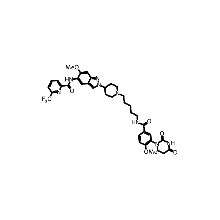 COc1cc2nn(C3CCN(CCCCCNC(=O)c4ccc(OC)c(N5CCC(=O)NC5=O)c4)CC3)cc2cc1NC(=O)c1cccc(C(F)(F)F)n1